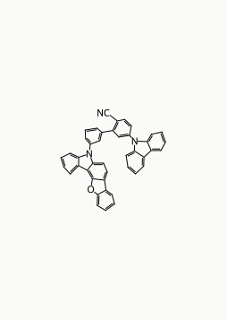 N#Cc1ccc(-n2c3ccccc3c3ccccc32)cc1-c1cccc(-n2c3ccccc3c3c4oc5ccccc5c4ccc32)c1